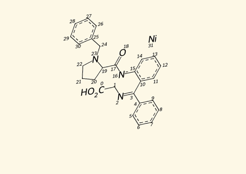 O=C(O)CN=C(c1ccccc1)c1ccccc1[N-]C(=O)C1CCCN1Cc1ccccc1.[Ni]